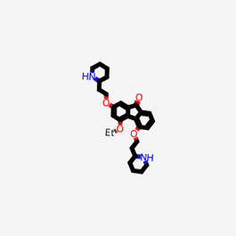 CCOc1cc(OCCC2CCCCN2)cc2c1-c1c(OCCC3CCCCN3)cccc1C2=O